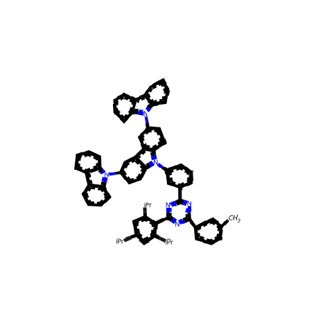 Cc1cccc(-c2nc(-c3cccc(-n4c5ccc(-n6c7ccccc7c7ccccc76)cc5c5cc(-n6c7ccccc7c7ccccc76)ccc54)c3)nc(-c3c(C(C)C)cc(C(C)C)cc3C(C)C)n2)c1